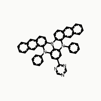 c1ccc(N2c3cc(-c4ncncn4)cc4c3B(c3ccc5cc6ccccc6cc5c32)c2ccc3cc5ccccc5cc3c2N4c2ccccc2)cc1